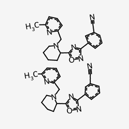 Cc1cccc(CN2CCCCC2c2nc(-c3cccc(C#N)c3)no2)n1.Cc1cccc(CN2CCCCC2c2nc(-c3cccc(C#N)c3)no2)n1